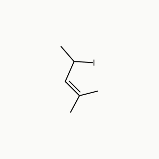 CC(C)=CC(C)I